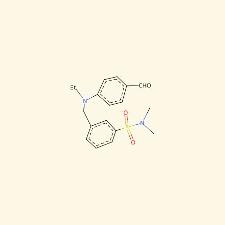 CCN(Cc1cccc(S(=O)(=O)N(C)C)c1)c1ccc(C=O)cc1